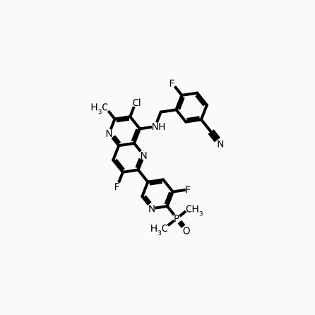 Cc1nc2cc(F)c(-c3cnc(P(C)(C)=O)c(F)c3)nc2c(NCc2cc(C#N)ccc2F)c1Cl